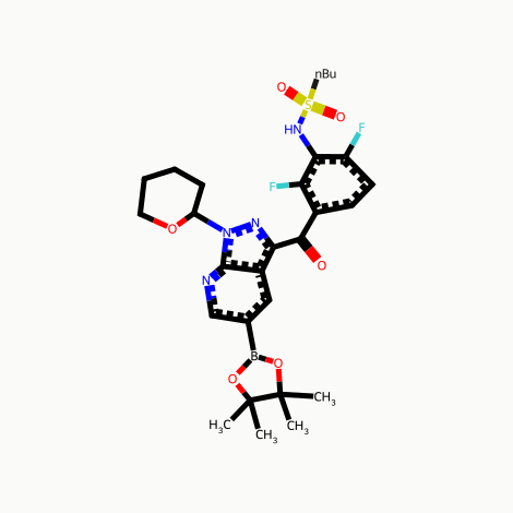 CCCCS(=O)(=O)Nc1c(F)ccc(C(=O)c2nn(C3CCCCO3)c3ncc(B4OC(C)(C)C(C)(C)O4)cc23)c1F